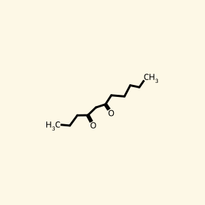 CCCCCC(=O)CC(=O)CCC